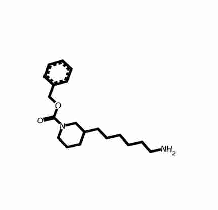 NCCCCCCC1CCCN(C(=O)OCc2ccccc2)C1